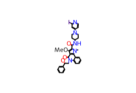 COc1c(C(=O)NC2CCN(c3ccnc(I)c3)CC2)n(C)c2c1c(=O)n(CC(=O)c1ccccc1)c1ccccc21